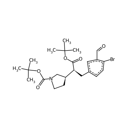 CC(C)(C)OC(=O)[C@@H](Cc1ccc(Br)c(C=O)c1)[C@H]1CCN(C(=O)OC(C)(C)C)C1